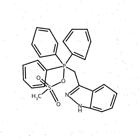 CS(=O)(=O)OP(Cc1n[nH]c2ccccc12)(c1ccccc1)(c1ccccc1)c1ccccc1